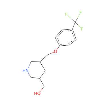 OCC1CNCC(COc2ccc(C(F)(F)F)cc2)C1